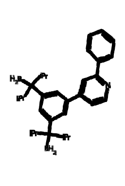 BC(c1cc(-c2ccnc(-c3ccccc3)c2)cc(C(B)(C(C)C)C(C)C)c1)(C(C)C)C(C)C